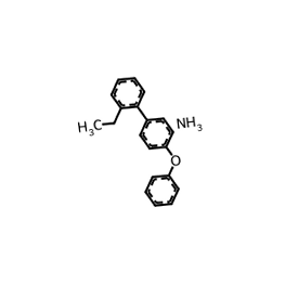 CCc1ccccc1-c1ccc(Oc2ccccc2)cc1.N